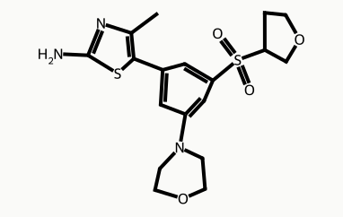 Cc1nc(N)sc1-c1cc(N2CCOCC2)cc(S(=O)(=O)C2CCOC2)c1